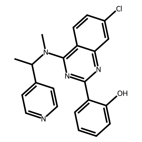 CC(c1ccncc1)N(C)c1nc(-c2ccccc2O)nc2cc(Cl)ccc12